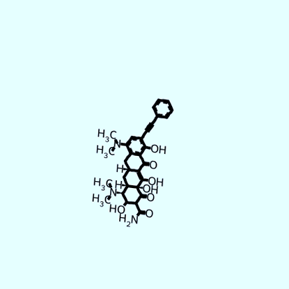 CN(C)c1cc(C#Cc2ccccc2)c(O)c2c1C[C@H]1C[C@H]3[C@H](N(C)C)C(O)C(C(N)=O)C(=O)[C@@]3(O)C(O)=C1C2=O